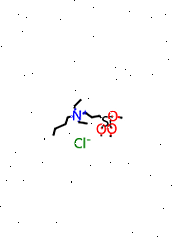 CCCC[N+](CC)(CC)CCC[Si](OC)(OC)OC.[Cl-]